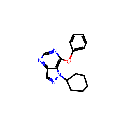 c1ccc(Oc2ncnc3cnn(C4CCCCC4)c23)cc1